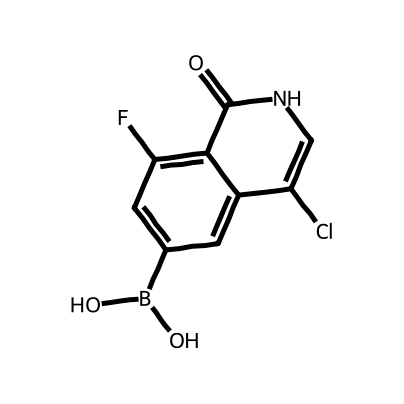 O=c1[nH]cc(Cl)c2cc(B(O)O)cc(F)c12